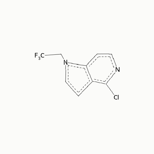 FC(F)(F)Cn1ccc2c(Cl)nccc21